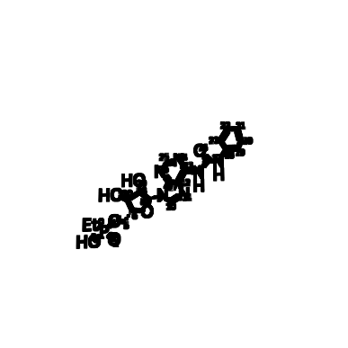 CCP(=O)(O)OC[C@H]1O[C@@H](n2cnc3c(NC(=O)Nc4ccccc4)ncnc32)[C@@H](O)C1O